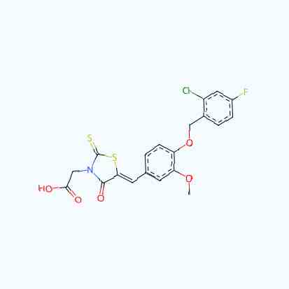 COc1cc(/C=C2\SC(=S)N(CC(=O)O)C2=O)ccc1OCc1ccc(F)cc1Cl